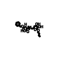 CCCCOC1OC(CSC(C)(C)C(NC(=O)OCc2ccccc2)C(=O)O)CC(O)C1O